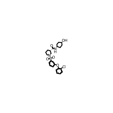 O=C(N[C@H]1CC[C@H](O)CC1)[C@H]1CCCN(S(=O)(=O)c2cccc(Oc3ccccc3Cl)c2)C1